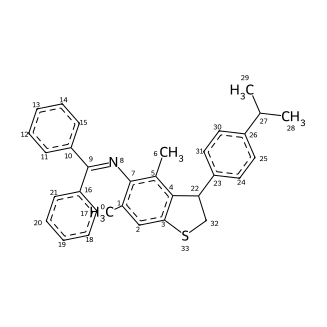 Cc1cc2c(c(C)c1N=C(c1ccccc1)c1ccccc1)C(c1ccc(C(C)C)cc1)CS2